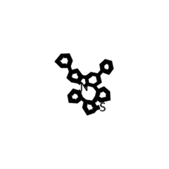 C1=C(c2ccccc2)C=C2c3cc(-c4ccccc4)ccc3N3c4ccccc4-c4cccc5sc6cccc(c6c45)C1C23